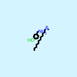 CCCCCCCCCCCCN(C)C.Cl.NCc1ccccc1